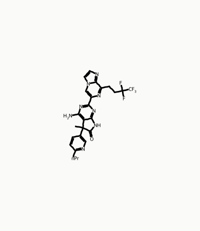 CCCc1ccc(C2(C)C(=O)Nc3nc(-c4cn5ccnc5c(CCC(F)(F)C(F)(F)F)n4)nc(N)c32)cn1